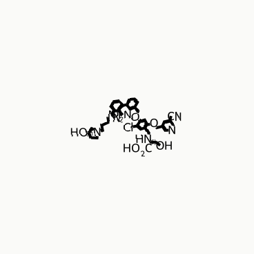 N#Cc1cncc(COc2cc(OCc3cccc(-c4cccc5c4cnn5CCCCN4CC[C@@H](O)C4)c3[N+](=O)[O-])c(Cl)cc2CN[C@@H](CO)C(=O)O)c1